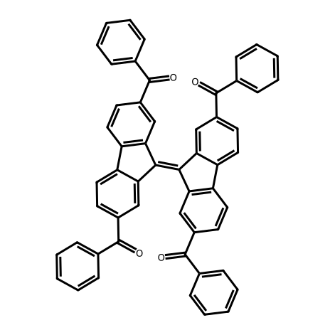 O=C(c1ccccc1)c1ccc2c(c1)C(=C1c3cc(C(=O)c4ccccc4)ccc3-c3ccc(C(=O)c4ccccc4)cc31)c1cc(C(=O)c3ccccc3)ccc1-2